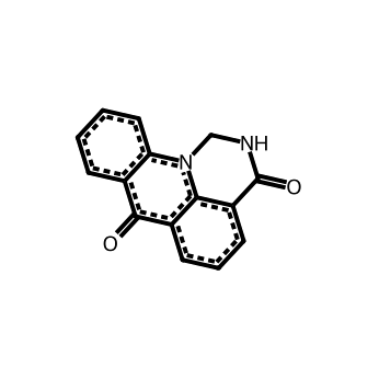 O=C1NCn2c3ccccc3c(=O)c3cccc1c32